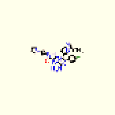 Cc1cnc2ccc(-c3c(-c4ccc(F)cc4)nc(N)c4nc(C(=O)NC56CC(N7CCCC7)(C5)C6)cn34)cn12